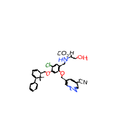 CC1(C)C(c2ccccc2)=CC=CC1COc1cc(OCc2cncc(C#N)c2)c(CNC(CO)C(=O)O)cc1Cl